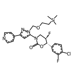 C[Si](C)(C)CCOCn1nc(-c2ccncc2)cc1N1C[C@@H](F)[C@H](c2ccc(Cl)c(F)c2)OC1=O